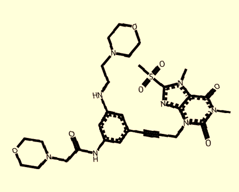 Cn1c(=O)c2c(nc(S(C)(=O)=O)n2C)n(CC#Cc2cc(NCCN3CCOCC3)cc(NC(=O)CN3CCOCC3)c2)c1=O